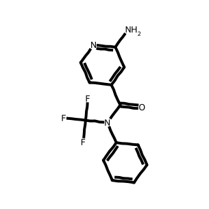 Nc1cc(C(=O)N(c2ccccc2)C(F)(F)F)ccn1